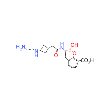 NCCNC1CC(CC(=O)NC2Cc3cccc(C(=O)O)c3OB2O)C1